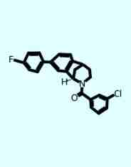 O=C(c1cccc(Cl)c1)N1CCC2C[C@@H]1c1cc(-c3ccc(F)cc3)ccc12